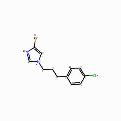 Clc1ccc(CCCn2cnc(Br)c2)cc1